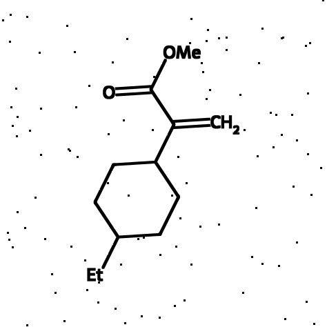 C=C(C(=O)OC)C1CCC(CC)CC1